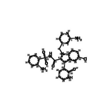 Nc1cc(Cn2c(C(=O)NS(=O)(=O)c3ccccc3N)c(-c3ccc[nH]c3=O)c3cc(Cl)ccc32)ccn1